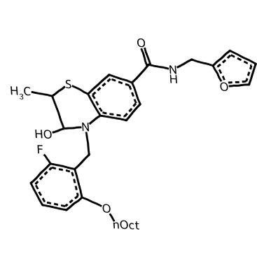 CCCCCCCCOc1cccc(F)c1CN1c2ccc(C(=O)NCc3ccco3)cc2SC(C)C1O